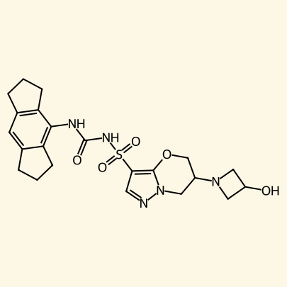 O=C(Nc1c2c(cc3c1CCC3)CCC2)NS(=O)(=O)c1cnn2c1OCC(N1CC(O)C1)C2